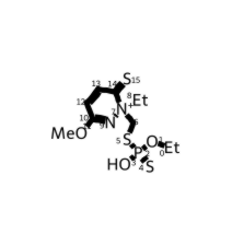 CCOP(O)(=S)SC[N+]1(CC)N=C(OC)C=CC1=S